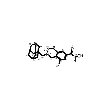 O=C(NO)c1cc(F)c2c(c1)CNN(CC13CC4CC(CC(C4)C1)C3)C2